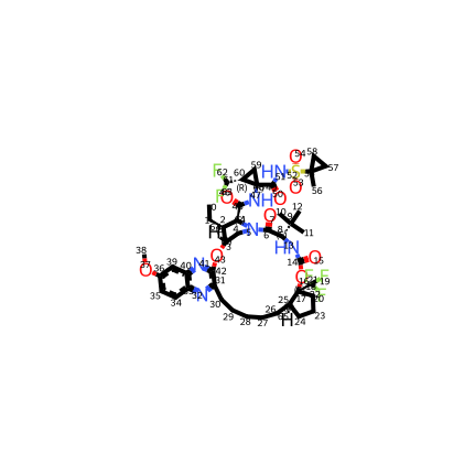 CC[C@@H]1[C@@H]2CN(C(=O)[C@H](C(C)(C)C)NC(=O)O[C@]3(C(F)(F)F)CCC[C@H]3CCCCCc3nc4ccc(OC)cc4nc3O2)[C@@H]1C(=O)N[C@]1(C(=O)NS(=O)(=O)C2(C)CC2)C[C@H]1C(F)F